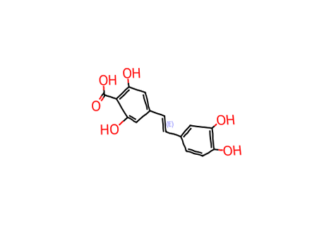 O=C(O)c1c(O)cc(/C=C/c2ccc(O)c(O)c2)cc1O